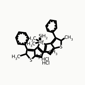 CC1=[C]([Hf]([CH3])([CH3])(=[SiH2])[C]2=C(C)C=C3SC(C)C(c4ccccc4)=C32)C2=C(c3ccccc3)C(C)SC2=C1.Cl.Cl